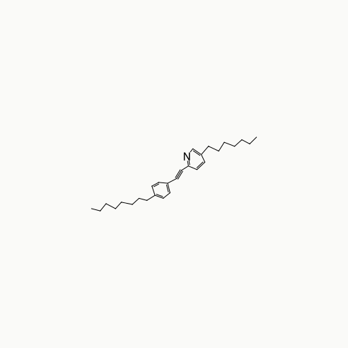 CCCCCCCCc1ccc(C#Cc2ccc(CCCCCCC)cn2)cc1